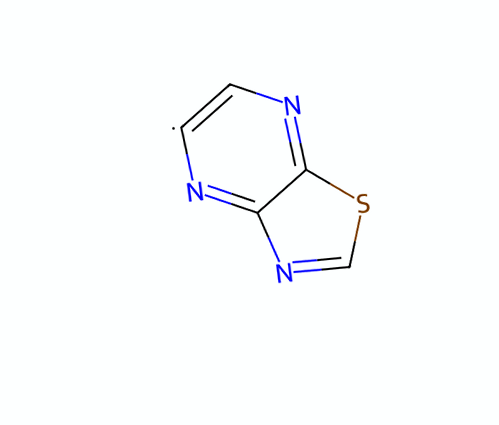 [c]1cnc2scnc2n1